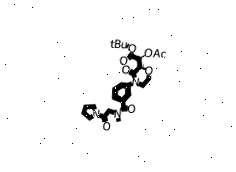 CC(=O)O[C@@H](C(=O)OC(C)(C)C)[C@H]1OCCN(c2cccc(C(=O)N(C)CC(=O)N3CCCC3)c2)C1=O